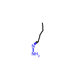 CCCC=NN